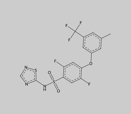 Cc1cc(Oc2cc(F)c(S(=O)(=O)Nc3ncns3)cc2F)cc(C(F)(F)F)c1